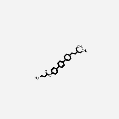 CCCC(=O)Oc1ccc(-c2ccc(C3=CCC(CCC(CC)CC)CC3)cc2)cc1